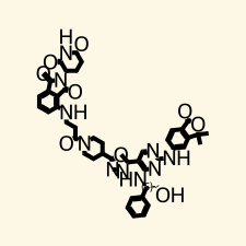 CC1(C)OC(=O)c2ccc(Nc3ncc(-c4nnc(C5CCN(C(=O)CCNc6cccc7c6C(=O)N(C6CCC(=O)NC6=O)C7=O)CC5)o4)c(N[C@H](CO)c4ccccc4)n3)cc21